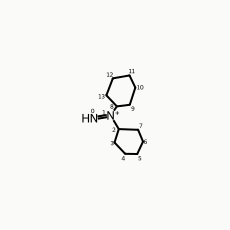 N=[N+](C1CCCCC1)C1CCCCC1